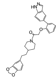 O=C(COc1ccccc1-c1ccc2[nH]ncc2c1)N1CCC(CCc2ccc3c(c2)OCO3)CC1